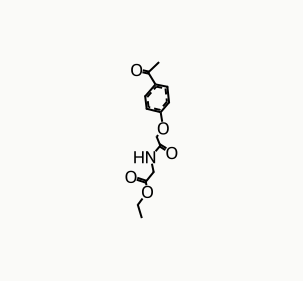 CCOC(=O)CNC(=O)COc1ccc(C(C)=O)cc1